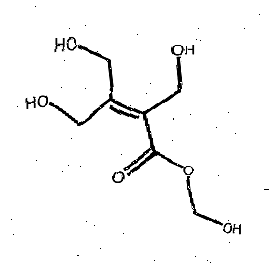 O=C(OCO)C(CO)=C(CO)CO